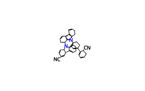 N#CC1=CC2C3=CCCC=C3N(C3CC=Cc4c5c(n(C6=CC=C(C7=CC=CCC7C#N)CC6)c43)CCC=C5)C2C=C1